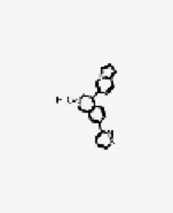 CN1Cc2cc(-c3cccnn3)ccc2C(c2ccc3cccn3c2)C1